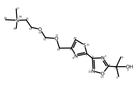 CC(C)(O)c1nc(-c2nc(COCOCC[Si](C)(C)C)cs2)no1